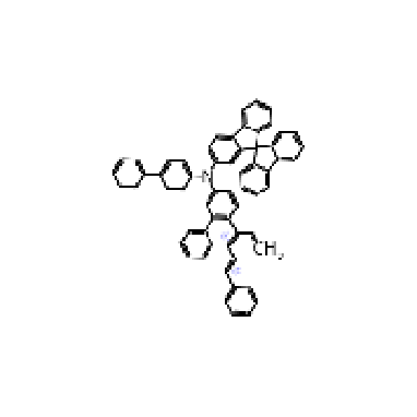 C=C/C(=C\C=C\c1ccccc1)c1ccc(N(C2=CC=C(C3=CC=CCC3)CC2)c2ccc3c(c2)C2(c4ccccc4-c4ccccc42)c2ccccc2-3)cc1-c1ccccc1